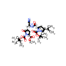 COC(=O)[C@@H]1C[C@@H](C[C@@H](C#N)NC(=O)[C@@H]2C[C@@H](C(C)C)CN2C(=O)OC(C)(C)C)C(=O)N1C(=O)OC(C)(C)C